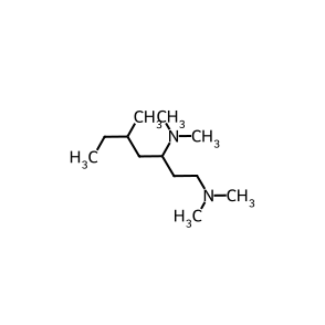 CCC(C)CC(CCN(C)C)N(C)C